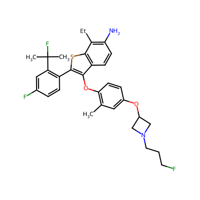 CCc1c(N)ccc2c(Oc3ccc(OC4CN(CCCF)C4)cc3C)c(-c3ccc(F)cc3C(C)(C)F)sc12